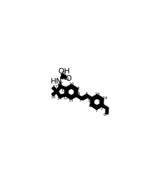 CCc1ccc(/C=C/c2ccc3c(c2)CC(C)(C)C3NC(=O)O)cc1